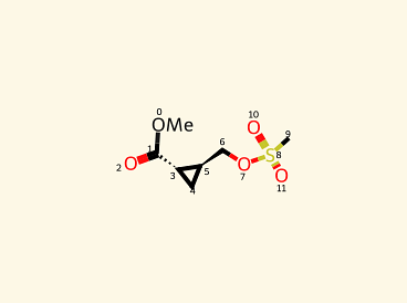 COC(=O)[C@H]1C[C@@H]1COS(C)(=O)=O